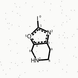 Ic1nc2c(o1)CNCC2